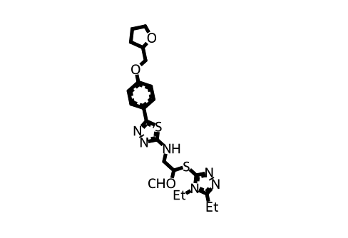 CCc1nnc(SC(C=O)CNc2nnc(-c3ccc(OCC4CCCO4)cc3)s2)n1CC